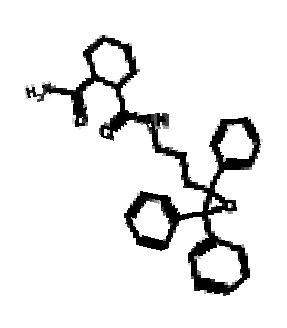 NC(=O)C1CCCCC1C(=O)NCCCC1(c2ccccc2)OC1(c1ccccc1)c1ccccc1